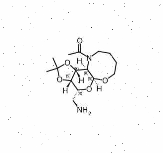 CC(=O)N1CCCCO[C@H]2O[C@H](CN)[C@@H]3OC(C)(C)O[C@@H]3[C@H]21